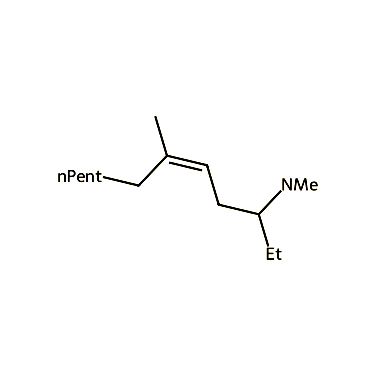 CCCCCC/C(C)=C\CC(CC)NC